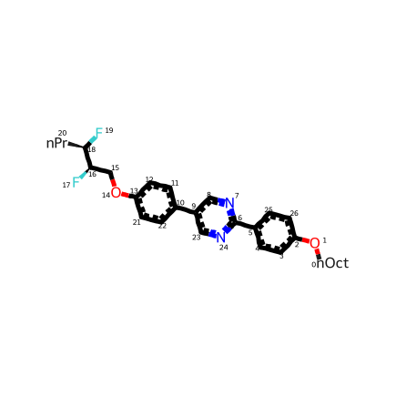 CCCCCCCCOc1ccc(-c2ncc(-c3ccc(OC[C@@H](F)[C@H](F)CCC)cc3)cn2)cc1